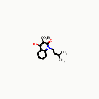 CCOC(=O)c1c(O)c2ccccc2n(CC=C(C)C)c1=O